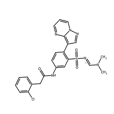 CN(C)/C=N/S(=O)(=O)c1cc(NC(=O)Cc2ccccc2Cl)ccc1-c1cnn2cccnc12